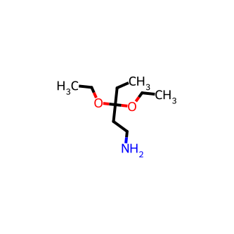 CCOC(CC)(CCN)OCC